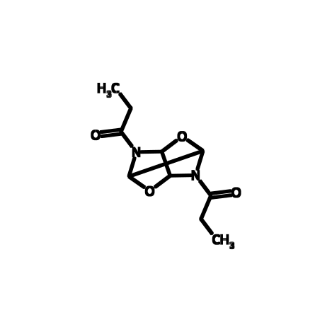 CCC(=O)N1C2OC3C1OC2N3C(=O)CC